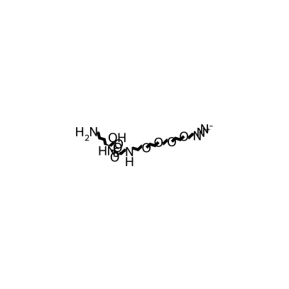 [N-]=[N+]=NCCOCCOCCOCCOCCCNCCS(=O)(=O)N[C@@H](CCCCN)C(=O)O